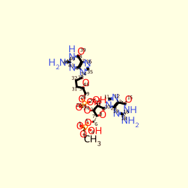 COP(=O)(O)OC[C@H]1O[C@@H](n2cnc3c(=O)[nH]c(N)nc32)[C@H](O)[C@@H]1OP(=O)(O)OCC1CC[C@H](n2cnc3c(=O)[nH]c(N)nc32)O1